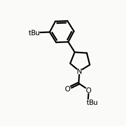 CC(C)(C)OC(=O)N1CCC(c2cccc(C(C)(C)C)c2)C1